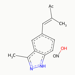 CC(=O)C(C)=Cc1ccc2[nH]nc(C)c2c1.O=NO